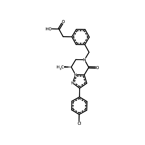 C[C@H]1CN(Cc2cccc(CC(=O)O)c2)C(=O)c2cc(-c3ccc(Cl)cc3)nn21